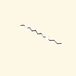 CCCCOCCCCCCOCC